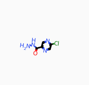 NNC(=O)c1cnc(Cl)cn1